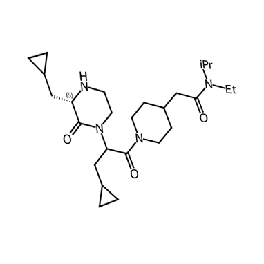 CCN(C(=O)CC1CCN(C(=O)C(CC2CC2)N2CCN[C@@H](CC3CC3)C2=O)CC1)C(C)C